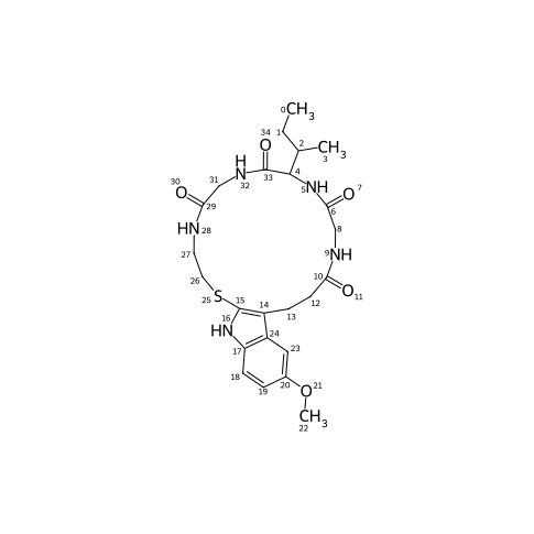 CCC(C)C1NC(=O)CNC(=O)CCc2c([nH]c3ccc(OC)cc23)SCCNC(=O)CNC1=O